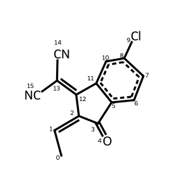 C/C=C1\C(=O)c2ccc(Cl)cc2C1=C(C#N)C#N